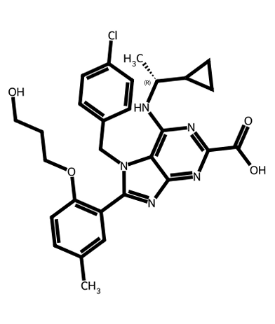 Cc1ccc(OCCCO)c(-c2nc3nc(C(=O)O)nc(N[C@H](C)C4CC4)c3n2Cc2ccc(Cl)cc2)c1